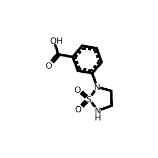 O=C(O)c1cccc(N2CCNS2(=O)=O)c1